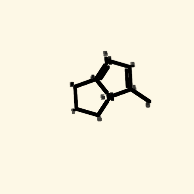 Cc1cnc2n1CCC2